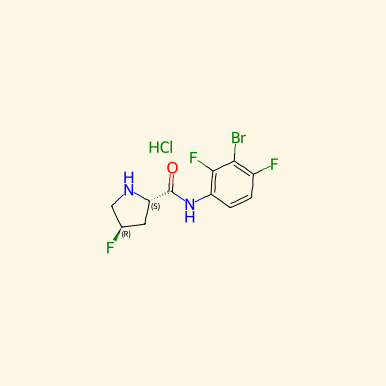 Cl.O=C(Nc1ccc(F)c(Br)c1F)[C@@H]1C[C@@H](F)CN1